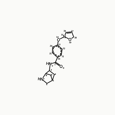 O=C(NC1CC2CNC1C2)c1ccc(ON2C=CCO2)cc1